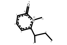 CCC(C)c1cccc(=O)n1C